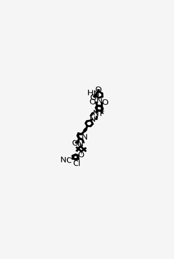 CC1(C)[C@H](Oc2ccc(C#N)c(Cl)c2)C(C)(C)[C@H]1N1Cc2nc(C#CC3CCC(N4CCN(c5cc6c(cc5F)C(=O)N(C5CCC(=O)NC5=O)C6=O)CC4)CC3)ccc2C1=O